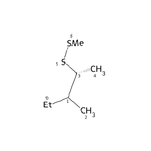 CCC(C)[C@@H](C)SSC